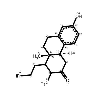 CC(C)CCC1C(C)C(=O)C[C@@H]2c3ccc(O)cc3CC[C@@]12C